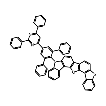 c1ccc(-c2nc(-c3ccccc3)nc(-c3cc(-c4ccccc4)c(-n4c5ccccc5c5c6oc7c(ccc8sc9ccccc9c87)c6ccc54)c(-c4ccccc4)c3)n2)cc1